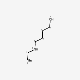 CCCCCNCCCCO